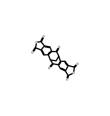 O=C1OC(=O)c2cc3c(cc21)C(=O)C1CC3C(=O)c2cc3c(cc21)C(=O)OC3=O